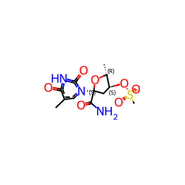 Cc1cn([C@@]2(C(N)=O)C[C@H](OS(C)(=O)=O)[C@@H](C)O2)c(=O)[nH]c1=O